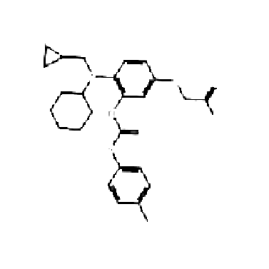 Cc1ccc(NC(=O)Nc2cc(OCC(=O)O)ccc2N(CC2CC2)C2CCCCC2)cc1